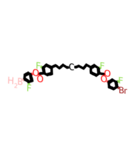 Bc1ccc(OC(=O)c2ccc(CCCCCCCCCc3ccc(C(=O)Oc4ccc(Br)c(F)c4)c(F)c3)cc2F)cc1F